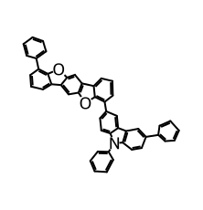 c1ccc(-c2ccc3c(c2)c2cc(-c4cccc5c4oc4cc6c(cc45)oc4c(-c5ccccc5)cccc46)ccc2n3-c2ccccc2)cc1